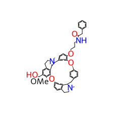 COc1c(CO)cc2c3c1Oc1ccc4c(c1)C(Cc1ccc(cc1)Oc1cc(ccc1OCCCNC(=O)Cc1ccccc1)CC3N(C)CC2)N(C)CC4